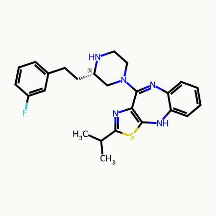 CC(C)c1nc2c(s1)Nc1ccccc1N=C2N1CCN[C@@H](CCc2cccc(F)c2)C1